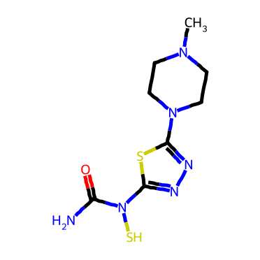 CN1CCN(c2nnc(N(S)C(N)=O)s2)CC1